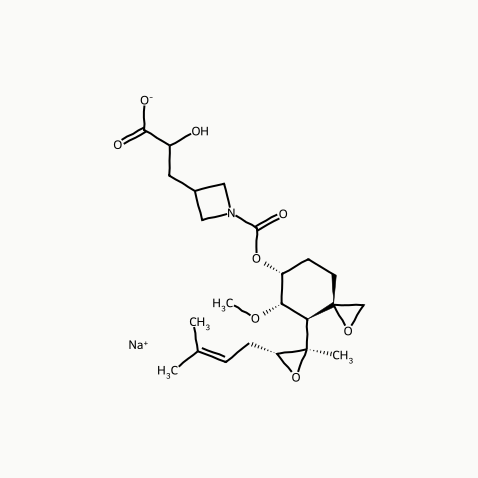 CO[C@@H]1[C@H](OC(=O)N2CC(CC(O)C(=O)[O-])C2)CC[C@]2(CO2)[C@H]1[C@@]1(C)O[C@@H]1CC=C(C)C.[Na+]